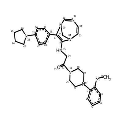 CSc1ccccc1N1CCN(C(=O)CNC2=C(c3ccc(N4CCCC4)cc3)N3C=NC=CN2C3)CC1